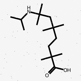 CC(C)NC(C)(C)CC(C)(C)CCC(C)(C)C(=O)O